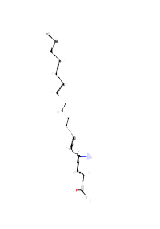 CCCCCCCCCCCCCC(N)CCC(C)O